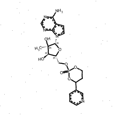 C[C@@]1(O)[C@H](O)[C@@H](COP2(=O)OCCC(c3cccnc3)O2)O[C@H]1n1ccc2c(N)ncnc21